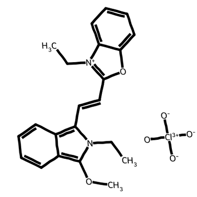 CCn1c(/C=C/c2oc3ccccc3[n+]2CC)c2ccccc2c1OC.[O-][Cl+3]([O-])([O-])[O-]